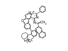 C=C(/N=C(\N=C(/C)c1ccccc1)c1cccc2oc3ccc(-c4cccc(C)c4C4=C(C)CCCC4)cc3c12)c1ccc2ccccc2c1